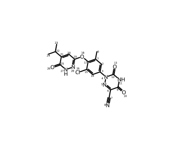 Cc1cc(-n2nc(C#N)c(=O)[nH]c2=O)cc(Cl)c1Oc1cc(C(C)C)c(=O)[nH]n1